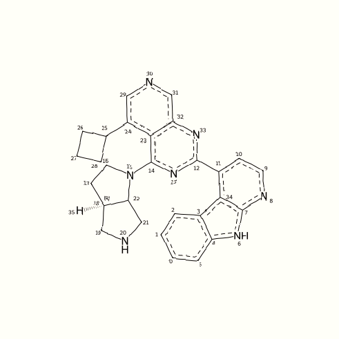 c1ccc2c(c1)[nH]c1nccc(-c3nc(N4CC[C@@H]5CNCC54)c4c(C5CCC5)cncc4n3)c12